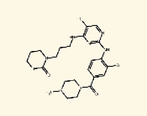 CCc1cc(C(=O)N2CCN(C)CC2)ccc1Nc1ncc(C(F)(F)F)c(NCCCN2CCCOC2=O)n1